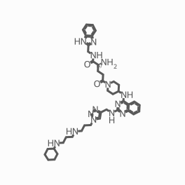 N[C@@H](CCC(=O)N1CCC(Nc2nc(NCc3cn(CCCNCCCNC4CCCCC4)nn3)nc3ccccc23)CC1)C(=O)NCc1nc2ccccc2[nH]1